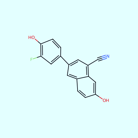 N#Cc1cc(-c2ccc(O)c(F)c2)cc2ccc(O)cc12